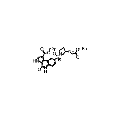 CCCOC(=O)c1c[nH]c2c(=O)[nH]c3ccc(S(=O)(=O)N4CCC(NCC(=O)OC(C)(C)C)C4)cc3c12